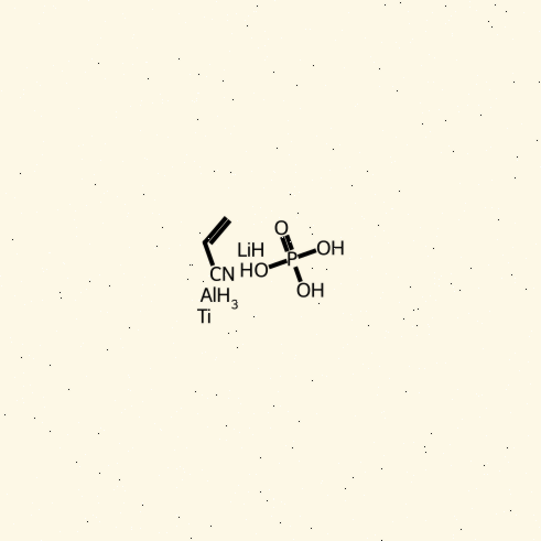 C=CC#N.O=P(O)(O)O.[AlH3].[LiH].[Ti]